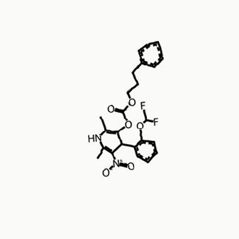 CC1=C(OC(=O)OCCCc2ccccc2)C(c2ccccc2OC(F)F)C([N+](=O)[O-])=C(C)N1